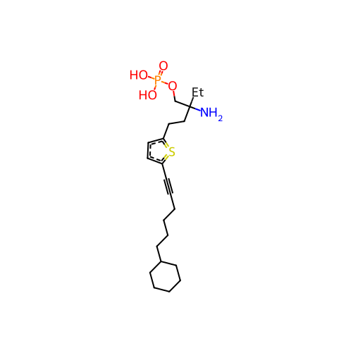 CCC(N)(CCc1ccc(C#CCCCCC2CCCCC2)s1)COP(=O)(O)O